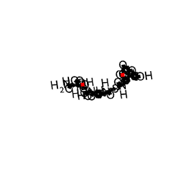 NC(=O)CC[C@H](NP(=O)(O)OC[C@H](NC(=O)c1ccc(CNC(=O)CCSCC(=O)Nc2ccc(C3c4ccc(O)cc4OC4=CC(=O)C=CC43)c(C(=O)O)c2)cc1)C(=O)O)C(=O)O